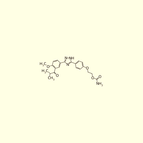 COc1ccc(-c2n[nH]c(-c3ccc(OCCOC(N)=O)cc3)n2)cc1C(=O)C(C)C